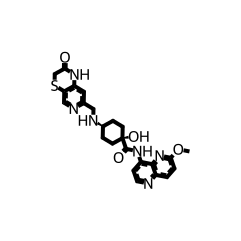 COc1ccc2nccc(NC(=O)[C@]3(O)CC[C@@H](NCc4cc5c(cn4)SCC(=O)N5)CC3)c2n1